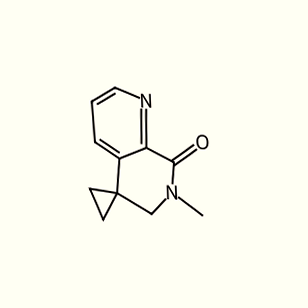 CN1CC2(CC2)c2cccnc2C1=O